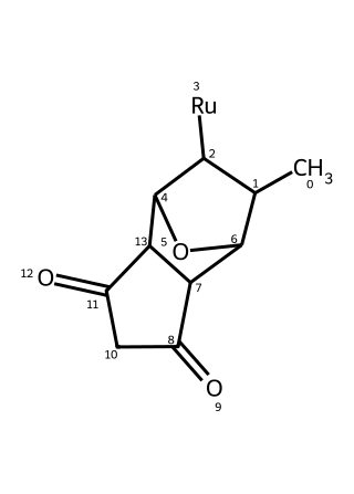 CC1[CH]([Ru])C2OC1C1C(=O)CC(=O)C21